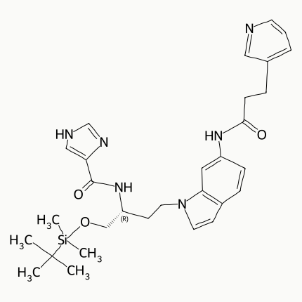 CC(C)(C)[Si](C)(C)OC[C@@H](CCn1ccc2ccc(NC(=O)CCc3cccnc3)cc21)NC(=O)c1c[nH]cn1